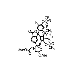 COC(=O)CN(CC(=O)OC)C(=O)c1ccc2c(c1)C1(OC2=O)c2cc(F)c(OS(=O)(=O)C(F)(F)F)c(F)c2[Si](C)(C)c2c1cc(F)c(OS(=O)(=O)C(F)(F)F)c2F